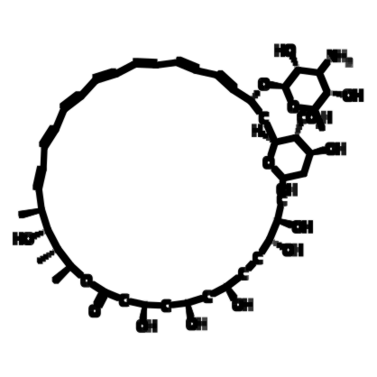 CC1O[C@@H](O[C@H]2/C=C/C=C/C=C/C=C/C=C/C=C/C=C/[C@H](C)[C@@H](O)[C@@H](C)[C@H](C)OC(=O)C[C@H](O)C[C@H](O)C[C@H](O)CC[C@@H](O)[C@H](O)C[C@]3(O)C[C@H](O)[C@@H](C(=O)O)[C@H](C2)O3)[C@H](O)C(N)[C@@H]1O